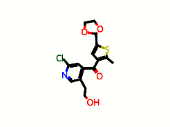 Cc1sc(C2OCCO2)cc1C(=O)c1cc(Cl)ncc1CCO